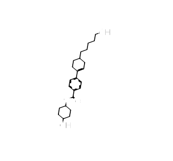 CCCCCCC1CC=C(c2ccc(C(=O)OC3CCC(C)CC3)cc2)CC1